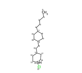 CCCCCC1CCC(CCC2CC[SiH](Cl)CC2)CC1